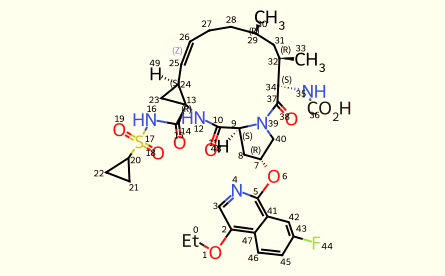 CCOc1cnc(O[C@@H]2C[C@H]3C(=O)N[C@]4(C(=O)NS(=O)(=O)C5CC5)C[C@H]4/C=C\CC[C@@H](C)C[C@@H](C)[C@H](NC(=O)O)C(=O)N3C2)c2cc(F)ccc12